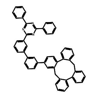 c1ccc(-c2nc(-c3ccccc3)nc(-c3cccc(-c4cccc(-c5ccc6c(c5)Cc5ccccc5-c5ccccc5Cc5ccccc5-6)c4)c3)n2)cc1